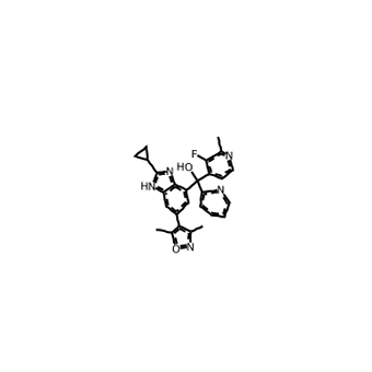 Cc1nccc(C(O)(c2ccccn2)c2cc(-c3c(C)noc3C)cc3[nH]c(C4CC4)nc23)c1F